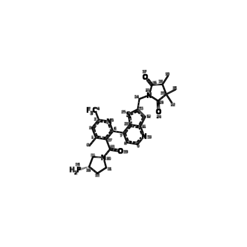 Cc1cc(C(F)(F)F)nc(-c2ccnc3cc(CN4C(=O)C(C)C(C)(C)C4=O)sc23)c1C(=O)N1CC[C@H](P)C1